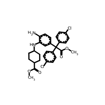 COC(=O)C1CCC(Nc2cc(C(C(=O)OC)(c3ccc(Cl)cc3)c3ccc(Cl)cc3)ccc2N)CC1